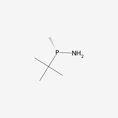 C[P@](N)C(C)(C)C